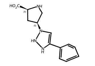 O=C(O)[C@@H]1C[C@H](N2C=C(c3ccccc3)NN2)CN1